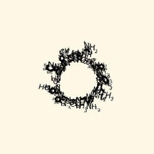 CCCC[C@H]1C(=O)N(C)CC(=O)NC(CC(N)=O)C(=O)N[C@@H](C(C)C)C(=O)N(C)[C@@H](Cc2ccccc2)C(=O)N[C@@H](Cc2ccc(O)cc2)C(=O)N(C)CC(=O)N[C@@H](Cc2c[nH]c3ncccc23)C(=O)N[C@@H](Cc2ccc(O)cc2)C(=O)N[C@@H](CC(C)C)C(=O)N[C@H](C(=O)NCC(N)=O)CSCC(=O)N[C@@H](Cc2ccccc2)C(=O)N(C)[C@@H](Cc2ccccc2)C(=O)N1C